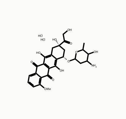 COc1cccc2c1C(=O)c1c(O)c3c(c(O)c1C2=O)C[C@@](O)(C(=O)CO)C[C@@H]3OC1CC(N)C(O)C(C)O1.Cl.Cl